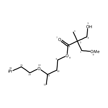 COCC(C)(CO)C(=O)OCCC(C)OCCC(C)C